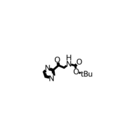 CC(C)(C)OC(=O)NCC(=O)c1cnccn1